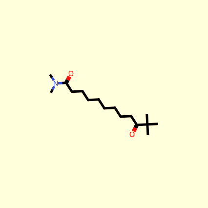 CN(C)C(=O)CCCCCCCCC(=O)C(C)(C)C